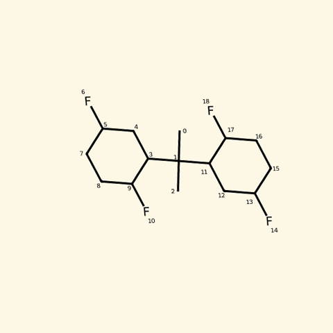 CC(C)(C1CC(F)CCC1F)C1CC(F)CCC1F